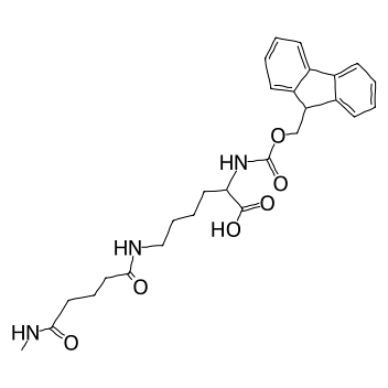 CNC(=O)CCCC(=O)NCCCCC(NC(=O)OCC1c2ccccc2-c2ccccc21)C(=O)O